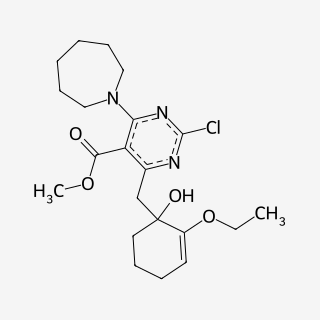 CCOC1=CCCCC1(O)Cc1nc(Cl)nc(N2CCCCCC2)c1C(=O)OC